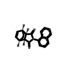 O=C1[C@@H]2[C@H](C(=O)N1c1cccc3cnccc13)[C@@H]1C=C[C@H]2CC1